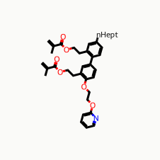 C=C(C)C(=O)OCCc1cc(-c2ccc(CCCCCCC)cc2CCOC(=O)C(=C)C)ccc1OCCOc1ccccn1